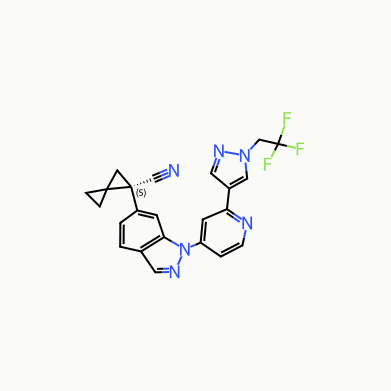 N#C[C@@]1(c2ccc3cnn(-c4ccnc(-c5cnn(CC(F)(F)F)c5)c4)c3c2)CC12CC2